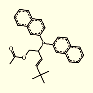 CC(=O)OCC(C=CC(C)(C)C)P(c1ccc2ccccc2c1)c1ccc2ccccc2c1